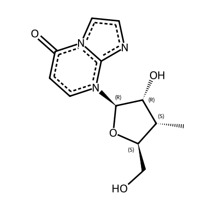 C[C@H]1[C@@H](O)[C@H](n2ccc(=O)n3ccnc23)O[C@@H]1CO